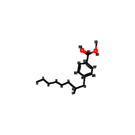 CCCCCCC(C)Cc1ccc(C(=O)OC)cc1